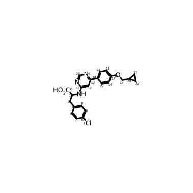 O=C(O)C(Cc1ccc(Cl)cc1)Nc1cc(-c2ccc(OCC3CC3)cc2)ncn1